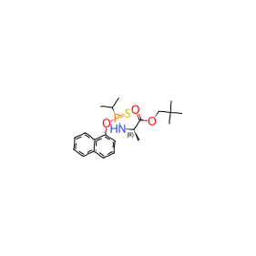 CC(C)P(=S)(N[C@H](C)C(=O)OCC(C)(C)C)Oc1cccc2ccccc12